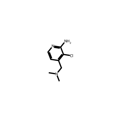 CN(C)Cc1ccnc(N)c1Cl